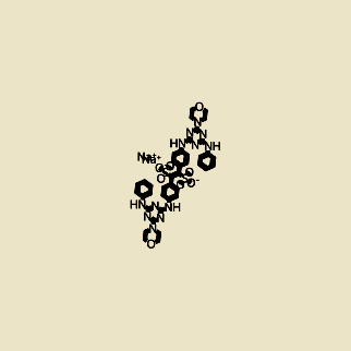 O=S(=O)([O-])C(=C(c1ccc(Nc2nc(Nc3ccccc3)nc(N3CCOCC3)n2)cc1)S(=O)(=O)[O-])c1ccc(Nc2nc(Nc3ccccc3)nc(N3CCOCC3)n2)cc1.[Na+].[Na+]